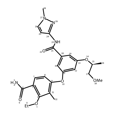 CCOc1c(C(N)=O)ccc(Oc2cc(O[C@@H](C)COC)cc(C(=O)Nc3ccn(C)n3)c2)c1C